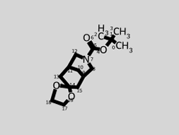 CC(C)(C)OC(=O)N1CC2CC(C1)CC1(C2)OCCO1